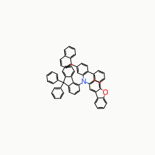 c1ccc(-c2ccc(-c3cccc4ccccc34)cc2N(c2ccc3oc4ccccc4c3c2)c2cccc3c2-c2ccccc2C3(c2ccccc2)c2ccccc2)cc1